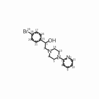 OC(CN1CCN(c2ccccn2)CC1)c1ccc(Br)cc1